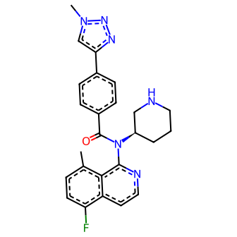 Cc1ccc(F)c2ccnc(N(C(=O)c3ccc(-c4cn(C)nn4)cc3)[C@@H]3CCCNC3)c12